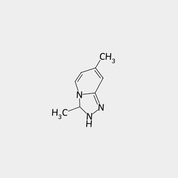 CC1=CC2=NNC(C)N2C=C1